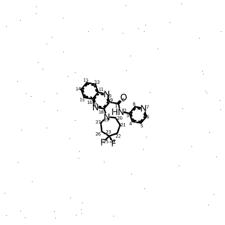 O=C(Nc1cccnc1)c1nc2ccccc2nc1N1CCCC(F)(F)CC1